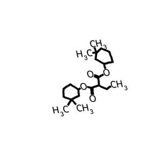 CCC(C(=O)OC1CCCC(C)(C)C1)C(=O)OC1CCCC(C)(C)C1